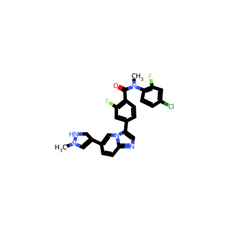 CN1C=C(c2ccc3ncc(-c4ccc(C(=O)N(C)c5ccc(Cl)cc5F)c(F)c4)n3c2)CN1